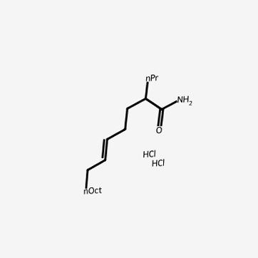 CCCCCCCCCC=CCCC(CCC)C(N)=O.Cl.Cl